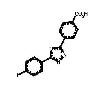 O=C(O)c1ccc(-c2nnc(-c3ccc(I)cc3)o2)cc1